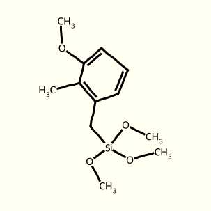 COc1cccc(C[Si](OC)(OC)OC)c1C